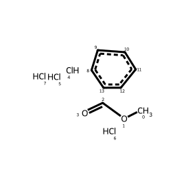 COC=O.Cl.Cl.Cl.Cl.c1ccccc1